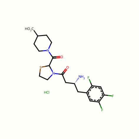 Cl.N[C@@H](CC(=O)N1CCSC1C(=O)N1CCC(C(=O)O)CC1)Cc1cc(F)c(F)cc1F